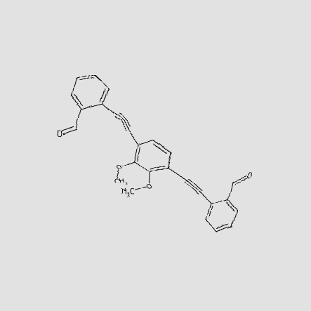 COc1c(C#Cc2ccccc2C=O)ccc(C#Cc2ccccc2C=O)c1OC